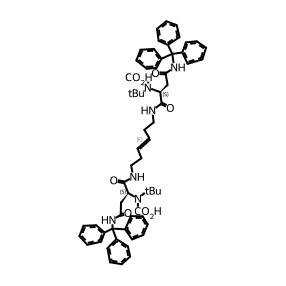 CC(C)(C)N(C(=O)O)[C@@H](CC(=O)NC(c1ccccc1)(c1ccccc1)c1ccccc1)C(=O)NCC/C=C/CCNC(=O)[C@H](CC(=O)NC(c1ccccc1)(c1ccccc1)c1ccccc1)N(C(=O)O)C(C)(C)C